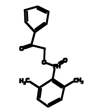 Cc1cccc(C)c1[PH](=O)OCC(=O)c1ccccc1